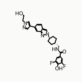 O=C(NC[C@H]1CC[C@H](n2cc3ccc(-c4cnn(CCO)c4)cc3n2)CC1)c1cc(F)c(O)c(F)c1